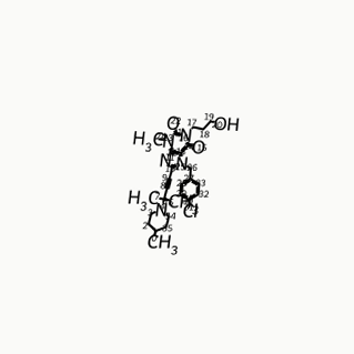 CC1CCN(C(C)(C)C#Cc2nc3c(c(=O)n(CCCO)c(=O)n3C)n2Cc2ccc(Cl)cc2)CC1